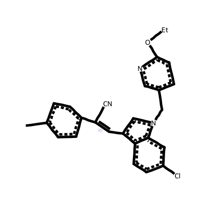 CCOc1ccc(Cn2cc(/C=C(\C#N)c3ccc(C)cc3)c3ccc(Cl)cc32)cn1